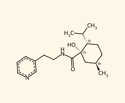 CC(C)[C@@H]1CC[C@@H](C)C[C@@]1(O)C(=O)NCCc1cccnc1